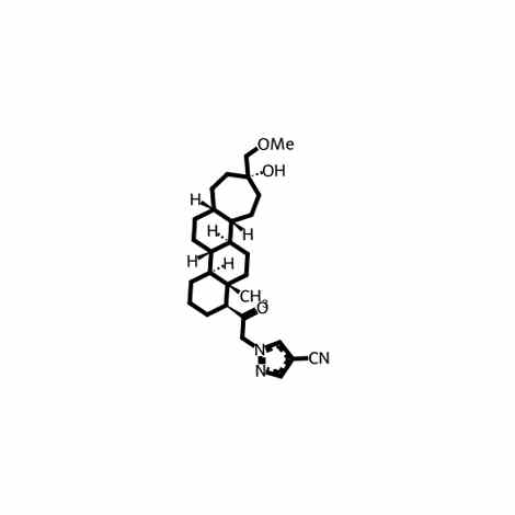 COC[C@]1(O)CC[C@H]2CC[C@@H]3[C@H](CC[C@]4(C)[C@@H](C(=O)Cn5cc(C#N)cn5)CCC[C@@H]34)[C@H]2CC1